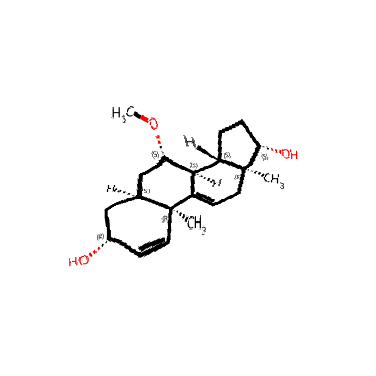 CO[C@H]1C[C@@H]2C[C@@H](O)C=C[C@]2(C)C2=CC[C@]3(C)[C@@H](O)CC[C@H]3[C@@H]21